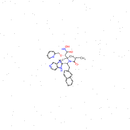 CCC(=O)N(C(Cc1ccc2ccccc2c1)c1nc2cnccc2[nH]1)C(C)(C)[C@H](OCc1ccccn1)C(=O)NO